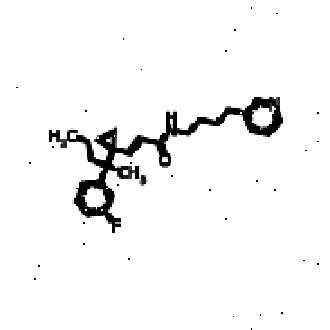 CCCC(C)(c1cccc(F)c1)C1(/C=C/C(=O)NCCCCc2cccnc2)CC1